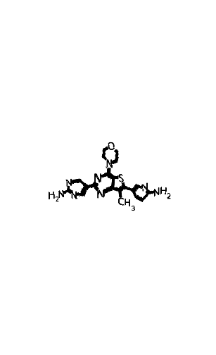 Cc1c(-c2ccc(N)nc2)sc2c(N3CCOCC3)nc(-c3cnc(N)nc3)nc12